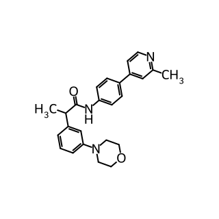 Cc1cc(-c2ccc(NC(=O)C(C)c3cccc(N4CCOCC4)c3)cc2)ccn1